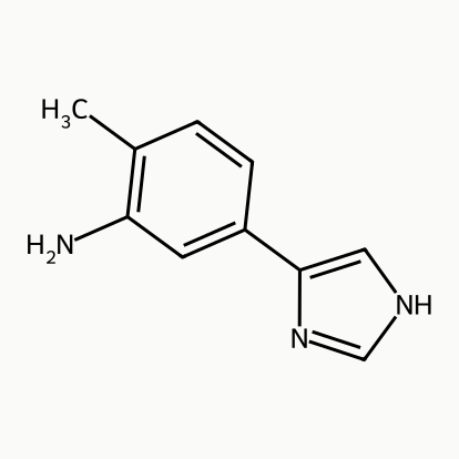 Cc1ccc(-c2c[nH]cn2)cc1N